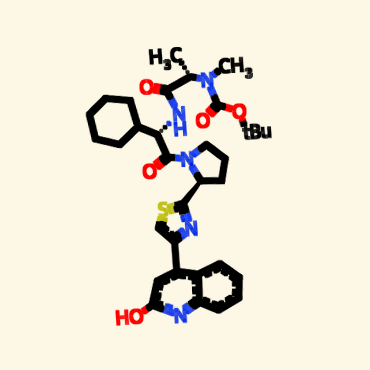 C[C@@H](C(=O)N[C@H](C(=O)N1CCC[C@H]1c1nc(-c2cc(O)nc3ccccc23)cs1)C1CCCCC1)N(C)C(=O)OC(C)(C)C